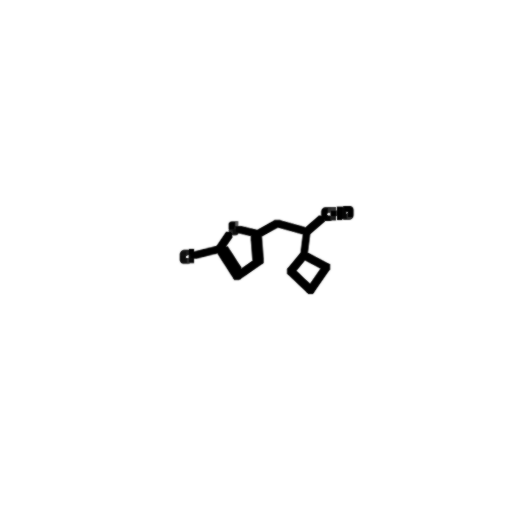 O=CC(Cc1ccc(Cl)s1)C1CCC1